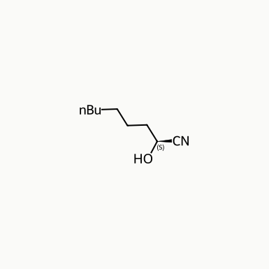 CCCCCCC[C@H](O)C#N